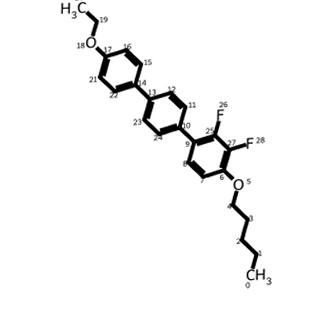 CCCCCOc1ccc(-c2ccc(-c3ccc(OCC)cc3)cc2)c(F)c1F